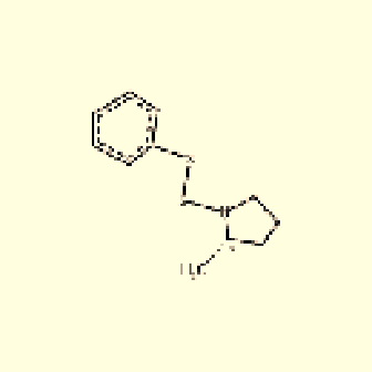 C[C@H]1CCCN1SSc1ccccc1